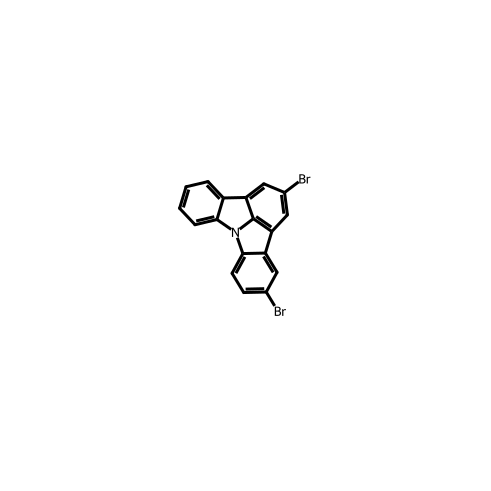 Brc1ccc2c(c1)c1cc(Br)cc3c4ccccc4n2c31